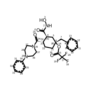 O=C(NO)[C@H]1C[C@](Cc2ccccc2)(OC(=O)C(F)(F)F)CC[C@@H]1C(=O)N1CCN(c2ccccc2)CC1